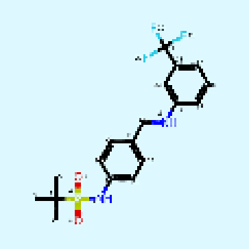 CC(C)(C)S(=O)(=O)Nc1ccc(CNc2cccc(C(F)(F)F)c2)cc1